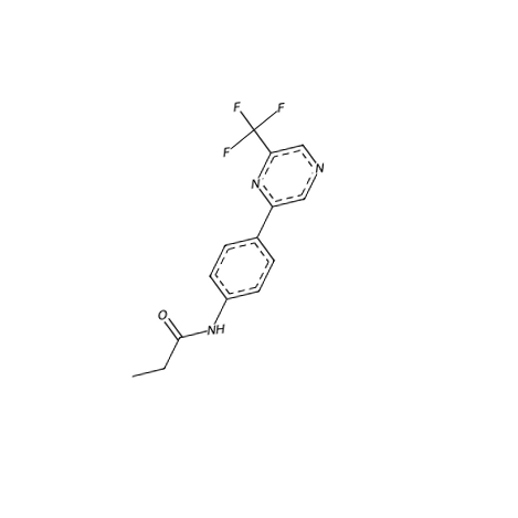 CCC(=O)Nc1ccc(-c2cncc(C(F)(F)F)n2)cc1